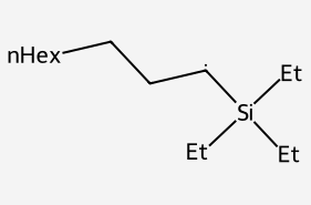 CCCCCCCC[CH][Si](CC)(CC)CC